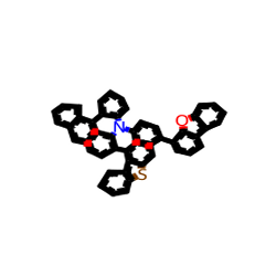 c1ccc(N(c2ccc(-c3cccc4c3oc3ccccc34)cc2)c2ccccc2-c2cccc3sc4ccccc4c23)c(-c2cccc3ccccc23)c1